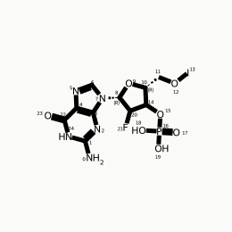 Nc1nc2c(ncn2[C@@H]2O[C@H](COI)C(OP(=O)(O)O)C2F)c(=O)[nH]1